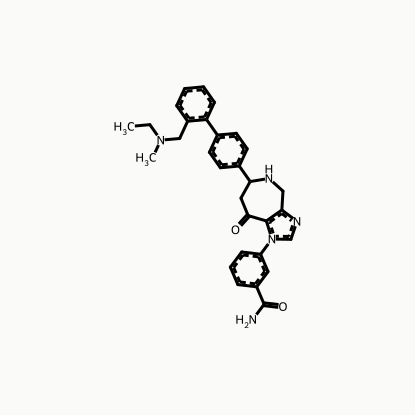 CCN(C)Cc1ccccc1-c1ccc(C2CC(=O)c3c(ncn3-c3cccc(C(N)=O)c3)CN2)cc1